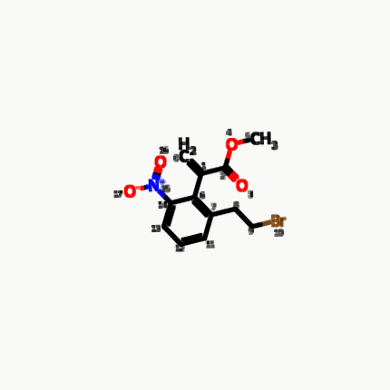 C=C(C(=O)OC)c1c(CCBr)cccc1[N+](=O)[O-]